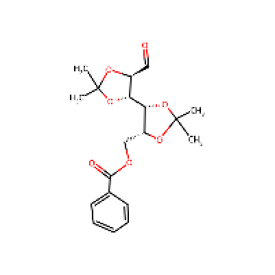 CC1(C)O[C@@H]([C@@H]2OC(C)(C)O[C@@H]2COC(=O)c2ccccc2)[C@H](C=O)O1